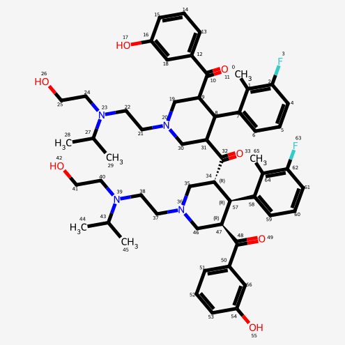 Cc1c(F)cccc1C1C(C(=O)c2cccc(O)c2)CN(CCN(CCO)C(C)C)CC1C(=O)[C@H]1CN(CCN(CCO)C(C)C)C[C@H](C(=O)c2cccc(O)c2)[C@@H]1c1cccc(F)c1C